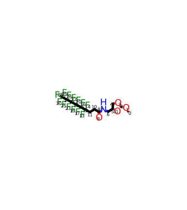 COC1OCC(CNC(=O)CCC(F)(F)C(F)(F)C(F)(F)C(F)(F)C(F)(F)C(F)(F)F)O1